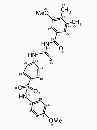 COc1ccc(NS(=O)(=O)c2ccc(NC(=S)NC(=O)c3cc(C)c(C)c(OC)c3)cc2)cc1